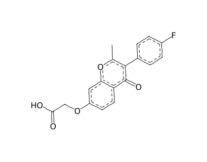 Cc1oc2cc(OCC(=O)O)ccc2c(=O)c1-c1ccc(F)cc1